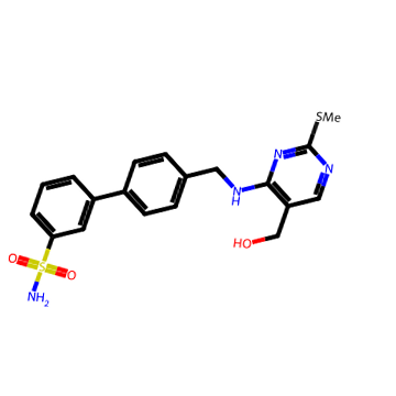 CSc1ncc(CO)c(NCc2ccc(-c3cccc(S(N)(=O)=O)c3)cc2)n1